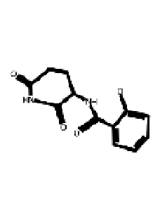 O=C1CCC(NC(=O)c2ccccc2Cl)C(=O)N1